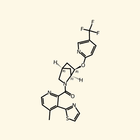 Cc1ccnc(C(=O)N2C[C@H]3C[C@@H](Oc4ccc(C(F)(F)F)cn4)[C@@H]2C3)c1-c1nccs1